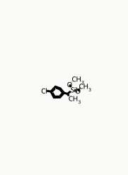 CO[SiH](OC)C(C)c1ccc(Cl)cc1